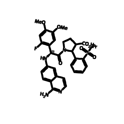 COc1cc(F)c([C@H](Nc2ccc3c(N)nccc3c2)C(=O)N2CCC(C(=O)O)C2c2ccccc2S(=O)(=O)C(C)C)cc1OC